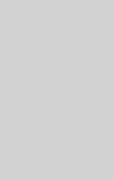 CCC1=COC(CC)(CC(C)=O)CC1